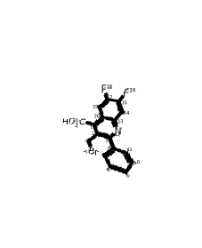 O=C(O)c1c(CBr)c(-c2ccccc2)nc2cc(F)c(F)cc12